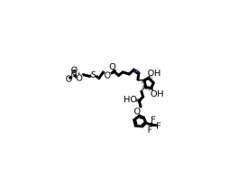 O=C(CCC/C=C\C[C@@H]1[C@@H](CC[C@@H](O)COc2cccc(C(F)(F)F)c2)[C@H](O)C[C@@H]1O)OCCSCCO[N+](=O)[O-]